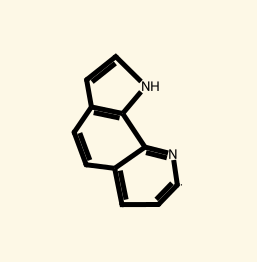 [c]1ccc2ccc3cc[nH]c3c2n1